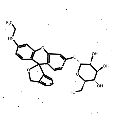 OC[C@H]1O[C@H](Oc2ccc3c(c2)Oc2cc(NCC(F)(F)F)ccc2C32OCc3ccccc32)[C@@H](O)[C@@H](O)[C@@H]1O